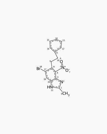 Cc1nc2c([N+](=O)[O-])c(CCc3ccccc3)c(Br)cc2[nH]1